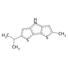 Cc1cc2[nH]c3cc(C(C)C)sc3c2s1